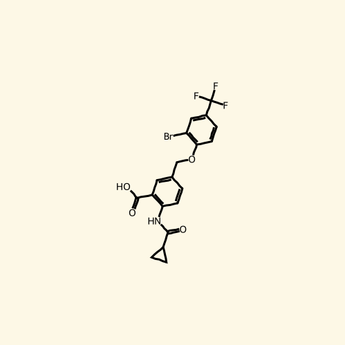 O=C(O)c1cc(COc2ccc(C(F)(F)F)cc2Br)ccc1NC(=O)C1CC1